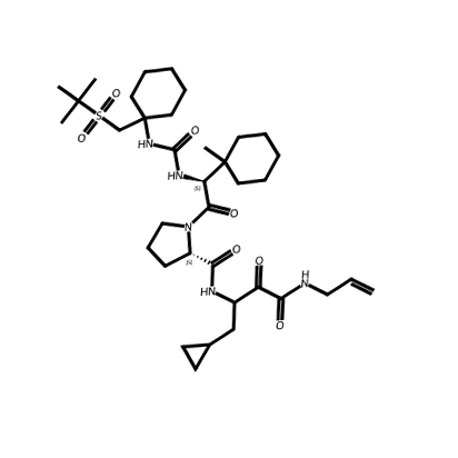 C=CCNC(=O)C(=O)C(CC1CC1)NC(=O)[C@@H]1CCCN1C(=O)[C@@H](NC(=O)NC1(CS(=O)(=O)C(C)(C)C)CCCCC1)C1(C)CCCCC1